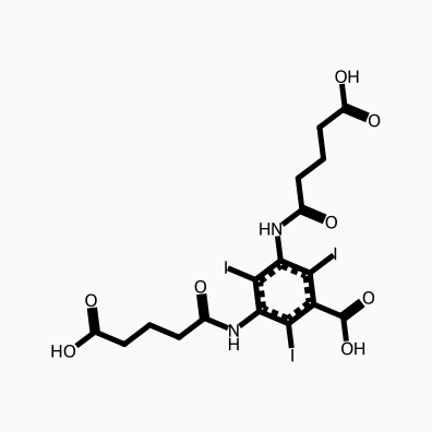 O=C(O)CCCC(=O)Nc1c(I)c(NC(=O)CCCC(=O)O)c(I)c(C(=O)O)c1I